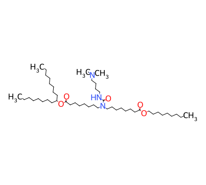 CCCCCCCCCOC(=O)CCCCCCCN(CCCCCCCC(=O)OC(CCCCCCCC)CCCCCCCC)C(=O)NCCCCN(C)C